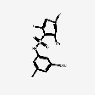 Cc1cc(NS(=O)(=O)c2c(C(C)C)cc(C(C)C)cc2C(C)C)cc(C(=O)O)c1